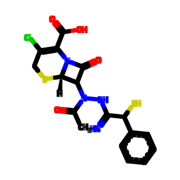 CC(=O)N(NC(=N)C(S)c1ccccc1)C1C(=O)N2C(C(=O)O)=C(Cl)CS[C@H]12